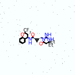 CCC1(CC)CC(=O)N(C[C@@H]2C[C@H]2C(=O)NC2CC(C(F)(F)F)Oc3ccccc32)C(=N)N1